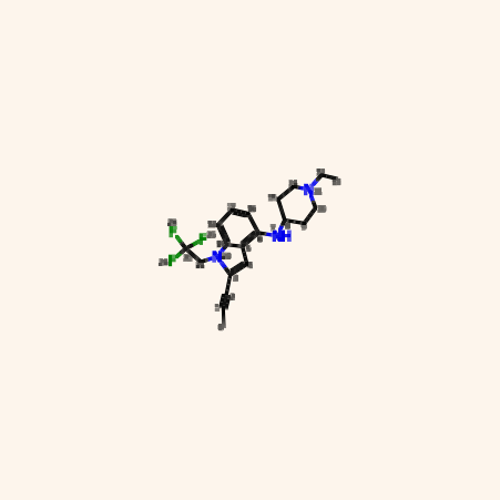 CC#Cc1cc2c(NC3CCN(CC)CC3)cccc2n1CC(F)(F)F